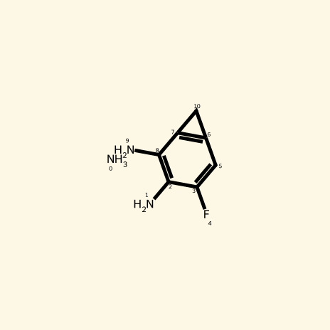 N.Nc1c(F)cc2c(c1N)C2